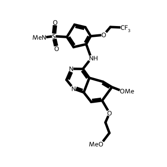 CNS(=O)(=O)c1ccc(OCC(F)(F)F)c(Nc2ncnc3cc(OCCOC)c(OC)cc23)c1